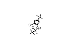 CC(C)(C)S(=O)(=O)Nc1sc([Si](C)(C)C)cc1Br